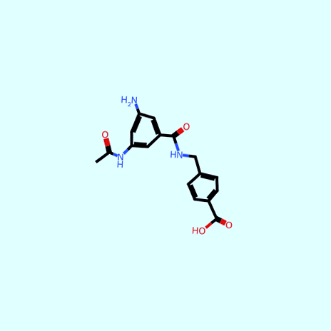 CC(=O)Nc1cc(N)cc(C(=O)NCc2ccc(C(=O)O)cc2)c1